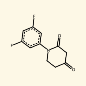 O=C1CCN(c2cc(F)cc(F)c2)C(=O)C1